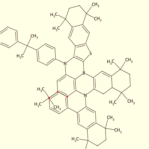 CC1(C)CCC(C)(C)C2CC3=C(C=C21)B1c2sc4cc5c(cc4c2N(c2ccc(C(C)(C)c4ccccc4)cc2)c2cc(C(C)(C)C)cc(c21)N3c1cc2c(cc1-c1ccccc1)C(C)(C)CCC2(C)C)C(C)(C)CCC5(C)C